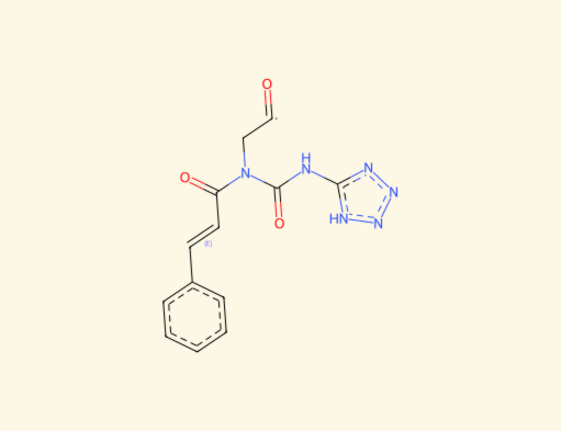 O=[C]CN(C(=O)/C=C/c1ccccc1)C(=O)Nc1nnn[nH]1